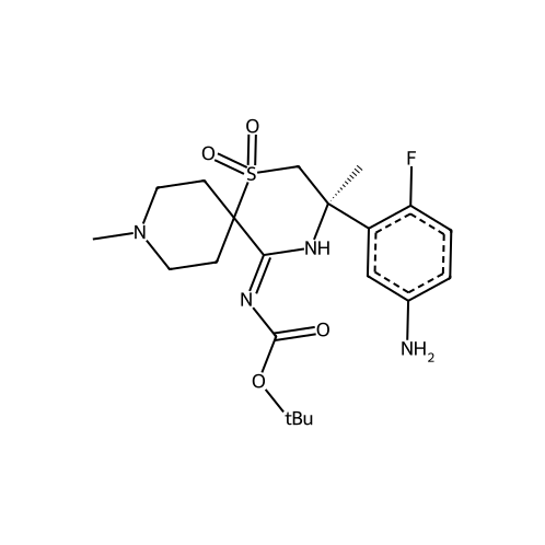 CN1CCC2(CC1)C(=NC(=O)OC(C)(C)C)N[C@](C)(c1cc(N)ccc1F)CS2(=O)=O